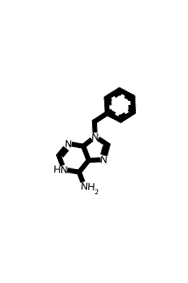 NC1NC=NC2C1N=CN2Cc1ccccc1